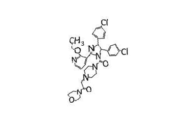 CCOc1ncccc1C1=NC(c2ccc(Cl)cc2)C(c2ccc(Cl)cc2)N1C(=O)N1CCN(CC(=O)N2CCOCC2)CC1